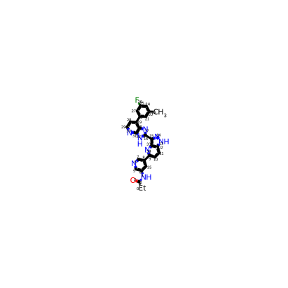 CCC(=O)Nc1cncc(-c2ccc3[nH]nc(-c4nc5c(-c6cc(C)cc(F)c6)ccnc5[nH]4)c3n2)c1